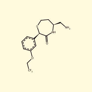 NC[C@@H]1CCS[C@H](c2cccc(OCC(F)(F)F)c2)C(=O)N1